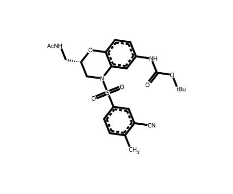 CC(=O)NC[C@H]1CN(S(=O)(=O)c2ccc(C)c(C#N)c2)c2cc(NC(=O)OC(C)(C)C)ccc2O1